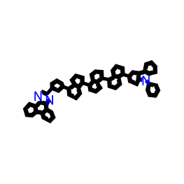 c1ccc(-n2c3ccccc3c3cc(-c4cccc5c(-c6cccc7c(-c8cccc9c(-c%10cccc(-c%11cnc%12c%13ccccc%13c%13ccccc%13c%12n%11)c%10)cccc89)cccc67)cccc45)ccc32)cc1